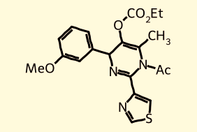 CCOC(=O)OC1=C(C)N(C(C)=O)C(c2cscn2)=NC1c1cccc(OC)c1